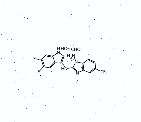 Nn1c(Nc2c[nH]c3cc(F)c(F)cc23)nc2cc(C(F)(F)F)ccc21.O=CO